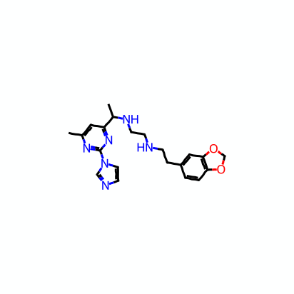 Cc1cc(C(C)NCCNCCc2ccc3c(c2)OCO3)nc(-n2ccnc2)n1